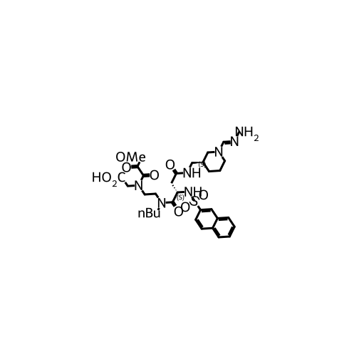 CCCCN(CCN(CC(=O)O)C(=O)C(=O)OC)C(=O)[C@H](CC(=O)NC[C@@H]1CCCN(C=NN)C1)NS(=O)(=O)c1ccc2ccccc2c1